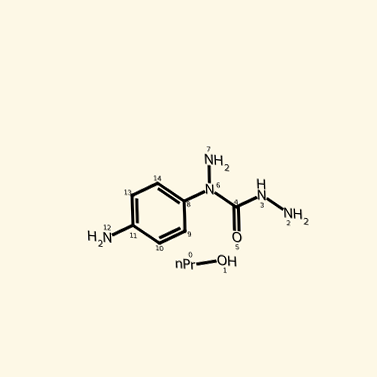 CCCO.NNC(=O)N(N)c1ccc(N)cc1